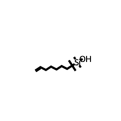 C=CCCCCCC(C)(C)[Si](C)(C)O